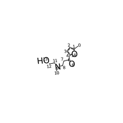 Cc1ccc(C(=O)CCN(C)CCO)o1